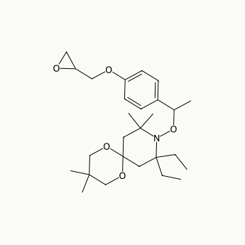 CCC1(CC)CC2(CC(C)(C)N1OC(C)c1ccc(OCC3CO3)cc1)OCC(C)(C)CO2